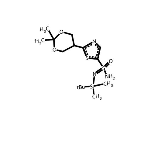 CC1(C)OCC(c2ncc(S(N)(=O)=N[Si](C)(C)C(C)(C)C)s2)CO1